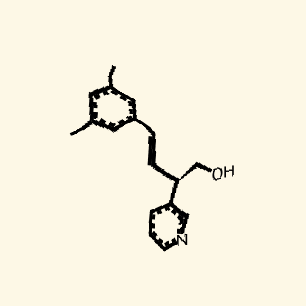 Cc1cc(C)cc(C=C[C@@H](CO)c2cccnc2)c1